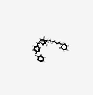 c1ccc(Oc2ccc(CN3C[C@@H]4[C@H](COCCCN5CCCCC5)[C@@H]4C3)cc2)cc1